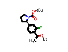 C=C(OCC)c1ccc([C@H]2CCCN2C(=O)OC(C)(C)C)cc1F